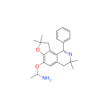 CC(N)Oc1cc2c(c3c1OC(C)(C)C3)C(c1ccccc1)=NC(C)(C)C2